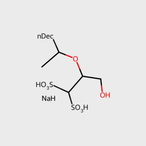 CCCCCCCCCCC(C)OC(CO)C(S(=O)(=O)O)S(=O)(=O)O.[NaH]